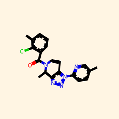 Cc1ccc(-n2nnc3c2C=CN(C(=O)c2cccc(C)c2Cl)C3C)nc1